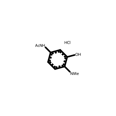 CNc1ccc(NC(C)=O)cc1O.Cl